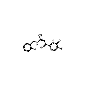 N#C/C(=C/C(=N)c1ncc(F)c(=O)[nH]1)NCc1ccccc1F